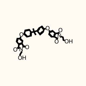 CC(C)(c1ccc(Oc2ccc3c(c2)C(=O)N(CCO)C3=O)cc1)c1ccc(Oc2ccc3c(c2)C(=O)N(CCO)C3=O)cc1